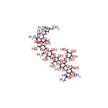 CCCCC(C)(CC(O)C1O[C@@](C=O)(O[C@@H]2C(O[C@@H]3OC(CO)[C@@H](O)C(O[C@@H]4OC(CO)[C@@H](O[C@@H]5OC(CO[C@@H]6OC(CO)[C@H](O)[C@H](O)C6O)[C@H](O)C(O[C@@H]6OC(CO)[C@@H](OC)C(O)[C@@H]6NC(C)=O)[C@@H]5O)C(O)[C@@H]4O)[C@@H]3O)[C@H](OC)OC(CO)[C@@H]2O)C[C@@H](O)[C@@H]1NC(C)=O)NC